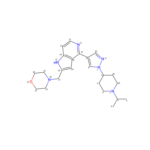 CC(C)N1CCC(n2cc(-c3nccc4[nH]c(CN5CCOCC5)cc34)cn2)CC1